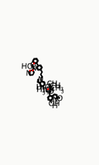 CC(C)(C)[Si](C)(C)O[C@@H](CNCc1ccc2c(ccn2CCCc2ccc(-c3ccccc3)c(N(C(=O)O)C3CN4CCC3CC4)c2)c1)c1ccc(O)c2[nH]c(=O)ccc12